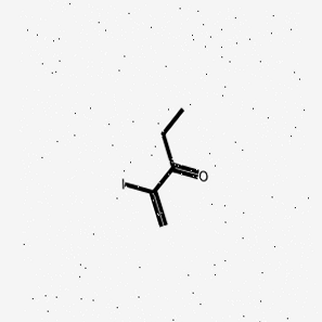 C=C(I)C(=O)CC